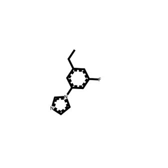 CCc1cc(F)cc(-n2ccnc2)c1